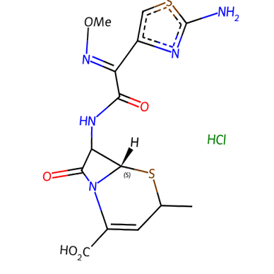 CON=C(C(=O)NC1C(=O)N2C(C(=O)O)=CC(C)S[C@@H]12)c1csc(N)n1.Cl